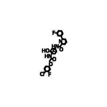 O=C(COc1ccc(Cl)c(F)c1)NC12CCC(NC(=O)c3cccc(-c4cccc(F)c4)n3)(CC1)CC2O